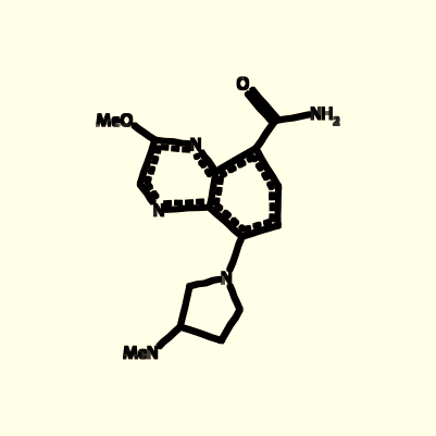 CNC1CCN(c2ccc(C(N)=O)c3nc(OC)cnc23)C1